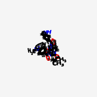 CC(C)C[C@H](NC(=O)c1ccc(N(C)C)cc1)C(=O)N1CC[C@@H]2[C@H]1C(=O)CN2C(=O)c1ccc2cc[nH]c2c1